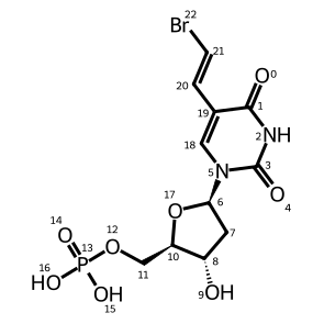 O=c1[nH]c(=O)n([C@H]2C[C@H](O)[C@@H](COP(=O)(O)O)O2)cc1C=CBr